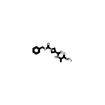 CC(NC(=O)C1CN(C(=O)OCc2ccccc2)C1)C(N)=O